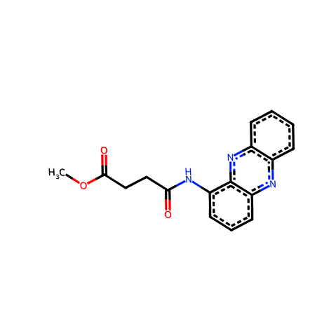 COC(=O)CCC(=O)Nc1cccc2nc3ccccc3nc12